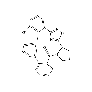 Cc1c(Cl)cccc1-c1noc(C2CCCN2C(=O)c2ccccc2-c2ccccc2)n1